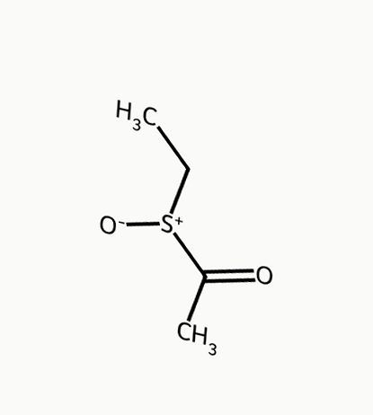 CC[S+]([O-])C(C)=O